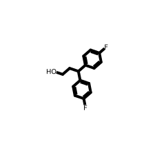 OCCC(c1ccc(F)cc1)c1ccc(F)cc1